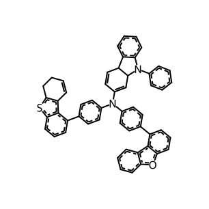 C1=Cc2c(sc3cccc(-c4ccc(N(C5=CC6C(C=C5)c5ccccc5N6c5ccccc5)c5ccc(-c6cccc7oc8ccccc8c67)cc5)cc4)c23)CC1